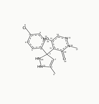 CC1=CC(c2ccc(Cl)cc2)(c2c(O)cnn(C)c2=O)NN1